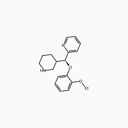 CCOc1ccccc1O[C@H](c1ccccn1)C1CCCNC1